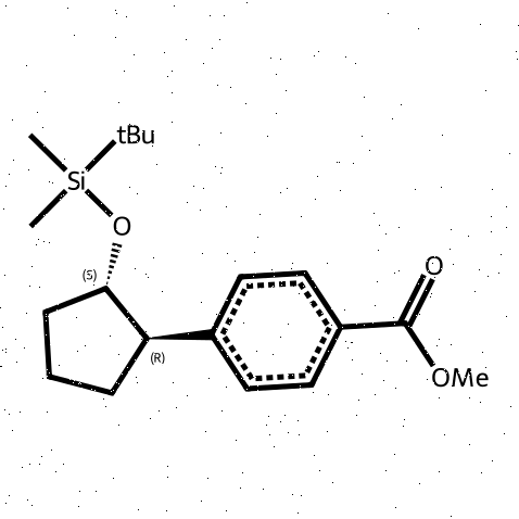 COC(=O)c1ccc([C@H]2CCC[C@@H]2O[Si](C)(C)C(C)(C)C)cc1